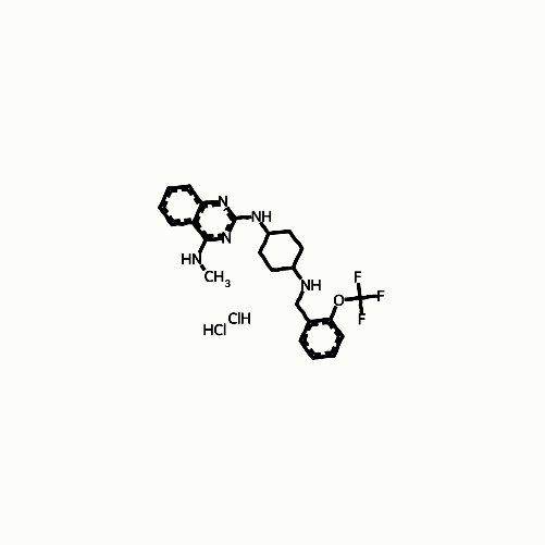 CNc1nc(NC2CCC(NCc3ccccc3OC(F)(F)F)CC2)nc2ccccc12.Cl.Cl